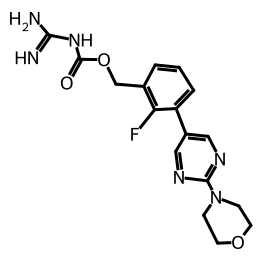 N=C(N)NC(=O)OCc1cccc(-c2cnc(N3CCOCC3)nc2)c1F